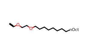 C=COCCOCCCCCCCCCCCCCCCC